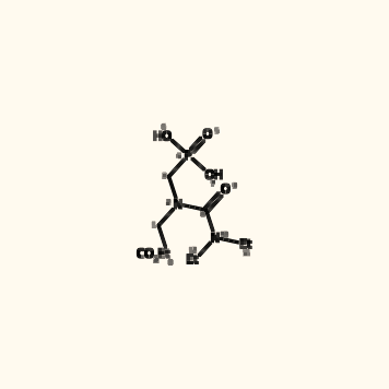 CCOC(=O)CN(CP(=O)(O)O)C(=O)N(CC)CC